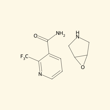 C1NCC2OC12.NC(=O)c1cccnc1C(F)(F)F